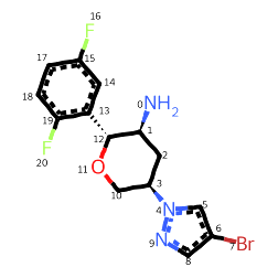 N[C@H]1C[C@@H](n2cc(Br)cn2)CO[C@@H]1c1cc(F)ccc1F